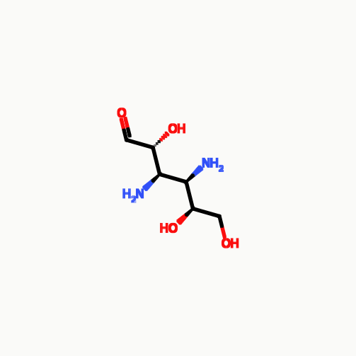 N[C@H]([C@@H](N)[C@@H](O)C=O)[C@H](O)CO